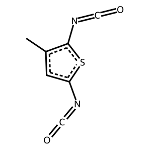 Cc1cc(N=C=O)sc1N=C=O